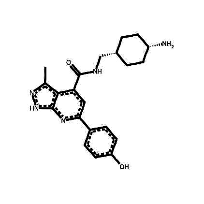 Cc1n[nH]c2nc(-c3ccc(O)cc3)cc(C(=O)NC[C@H]3CC[C@@H](N)CC3)c12